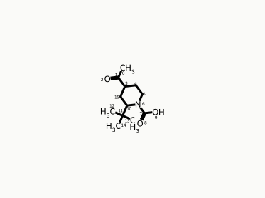 CC(=O)C1CCN(C(=O)O)C(C(C)(C)C)C1